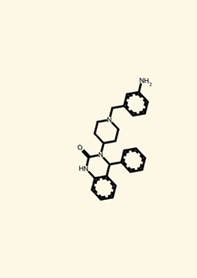 Nc1cccc(CN2CCC(N3C(=O)Nc4ccccc4C3c3ccccc3)CC2)c1